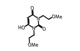 COCCn1c(O)[c]c(=O)n(CCOC)c1=O